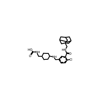 O=C(O)NCC1CCC(NCc2ccc(Cl)c(C(=O)NCC34CC5CC(CC(C5)C3)C4)c2)CC1